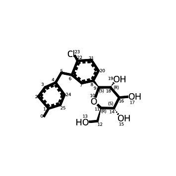 Cc1ccc(Cc2cc([C@@H]3O[C@H](CO)[C@@H](O)C(O)[C@H]3O)ccc2Cl)cc1